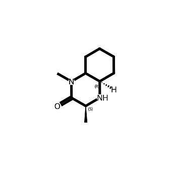 C[C@@H]1N[C@@H]2CCCCC2N(C)C1=O